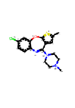 Cc1cc2c(s1)Oc1cc(Cl)ccc1N=C2N1CCN(C)CC1